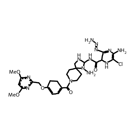 COc1cc(OC)nc(COC2=CC=C(C(=O)N3CCC4(CC3)CNC(NC(=O)C3NC(Cl)=C(N)N=C3N=NN)N4N)CC2)n1